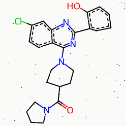 O=C(C1CCN(c2nc(-c3ccccc3O)nc3cc(Cl)ccc23)CC1)N1CCCC1